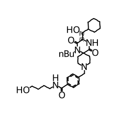 CCCCN1C(=O)[C@@H]([C@H](O)C2CCCCC2)NC(=O)C12CCN(Cc1ccc(C(=O)NCCCCO)cc1)CC2